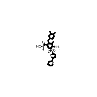 Cc1ccc(Cc2c(C(=O)NO)cc(S(=O)(=O)c3ccc(-c4ccccn4)s3)c(N)c2C)cc1C